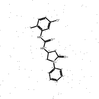 Cc1ccc(Cl)cc1NC(=O)NC1CC(=O)N(c2ccccc2)C1